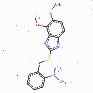 COc1ccc2[nH]c(SCc3ccccc3N(C)C)nc2c1OC